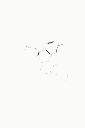 COC(=O)c1ccc(Br)cc1C1CCCN(C(=O)O)C1